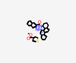 COC(=O)C1=CCSC=C1.Nc1cc2ccccc2cc1C(=O)NC1CCCc2ccc3c(ccc4ccccc43)c21